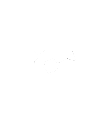 O=S(=O)(Cl)c1cc(C2CC2)ccn1